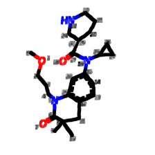 COCCCN1C(=O)C(C)(C)Cc2ccc(N(C(=O)[C@@H]3CCCNC3)C3CC3)cc21